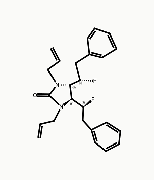 C=CCN1C(=O)N(CC=C)[C@H]([C@@H](F)Cc2ccccc2)[C@H]1[C@@H](F)Cc1ccccc1